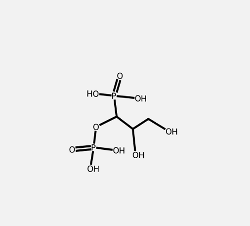 O=P(O)(O)OC(C(O)CO)P(=O)(O)O